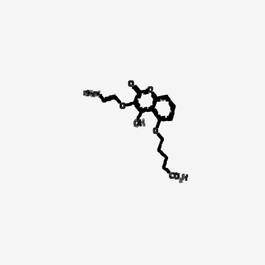 CCCCCCC=COc1c(O)c2c(OCCCCC(=O)O)cccc2oc1=O